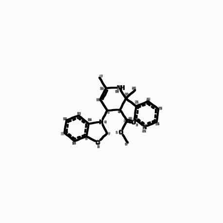 COC(=O)C1C(N2COc3ccccc32)C=C(C)NC1(C)c1cccnc1